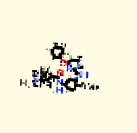 COc1ccc(NC(=O)/C(C#N)=C/C(C)(C)N(C)C)cc1Nc1nccc(Oc2ccccc2)n1